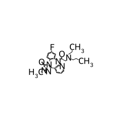 CCCN(CCC)CC(=O)N1c2cc(F)ccc2-n2c(nn(C)c2=O)-c2cccnc21